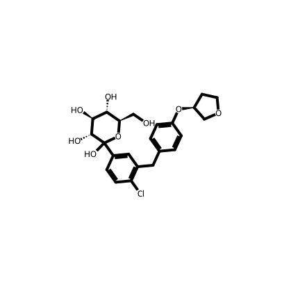 OC[C@H]1OC(O)(c2ccc(Cl)c(Cc3ccc(O[C@H]4CCOC4)cc3)c2)[C@H](O)[C@@H](O)[C@@H]1O